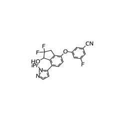 CC(C)n1nccc1-c1ccc(Oc2cc(F)cc(C#N)c2)c2c1C(O)C(F)(F)C2